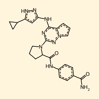 NC(=O)c1ccc(NC(=O)C2CCCN2c2nc(Nc3cc(C4CC4)[nH]n3)c3cccn3n2)cc1